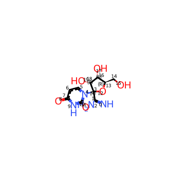 N=C(N)[C@@]1(n2ccc(=O)[nH]c2=O)O[C@H](CO)[C@@H](O)[C@H]1O